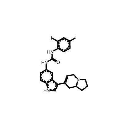 O=C(Nc1ccc2[nH]cc(C3=CCN4CCCC4C3)c2c1)Nc1ccc(I)cc1I